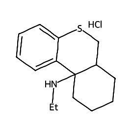 CCNC12CCCCC1CSc1ccccc12.Cl